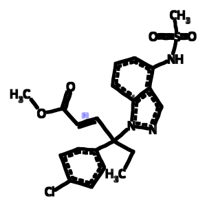 CCC(/C=C/C(=O)OC)(c1ccc(Cl)cc1)n1ncc2c(NS(C)(=O)=O)cccc21